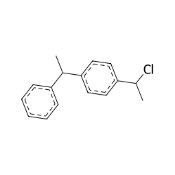 CC(Cl)c1ccc(C(C)c2ccccc2)cc1